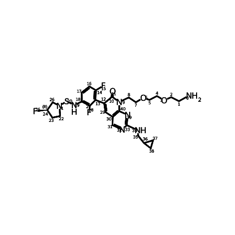 NCCOCCOCCn1c(=O)c(-c2c(F)ccc(NSN3CC[C@@H](F)C3)c2F)cc2cnc(NCC3CC3)nc21